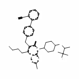 CCCCc1c(Cc2ccc(-c3ccccc3C#N)cc2)c(=O)n(C2CCC(OC(C)C(C)(C)O)CC2)c2nc(C)nn12